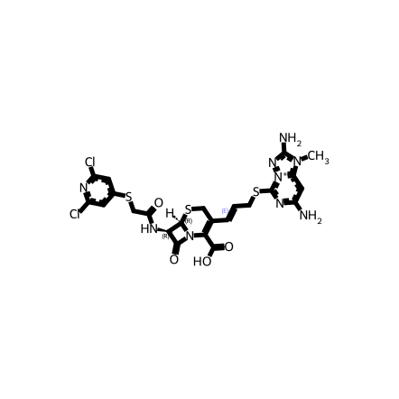 Cn1c(N)n[n+]2c(SC/C=C/C3=C(C(=O)O)N4C(=O)[C@@H](NC(=O)CSc5cc(Cl)nc(Cl)c5)[C@H]4SC3)nc(N)cc12